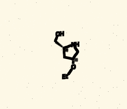 CCO[C@H]1CN[C@@H](CO)C1